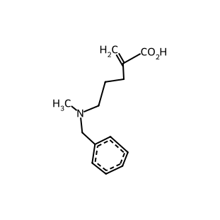 C=C(CCCN(C)Cc1ccccc1)C(=O)O